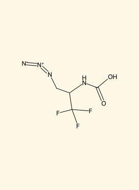 [N-]=[N+]=NCC(NC(=O)O)C(F)(F)F